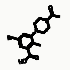 CC(=O)N1CCN(c2cc(Br)cc(C(=O)O)c2C)CC1